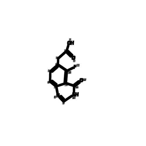 O=C(O)Cc1ccc2nc[nH]c(=O)c2c1F